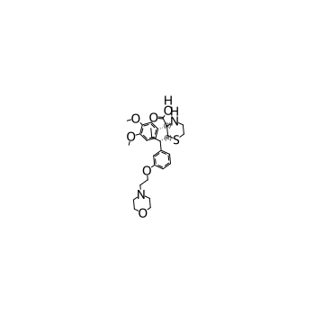 CCC(c1cccc(OCCN2CCOCC2)c1)[C@H]1SCCN[C@@]1(C(=O)O)c1ccc(OC)c(OC)c1